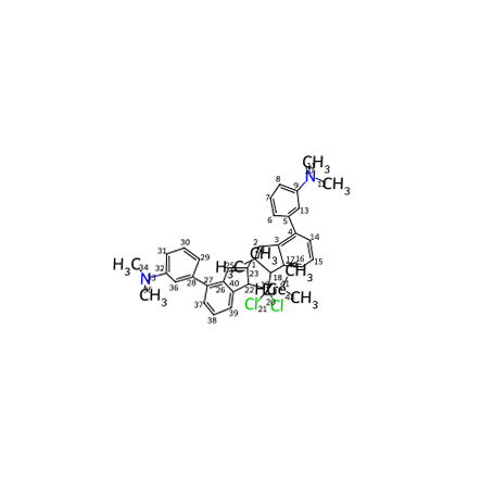 CC1=Cc2c(-c3cccc(N(C)C)c3)cccc2[CH]1[Zr]([Cl])([Cl])([CH]1C(C)=Cc2c(-c3cccc(N(C)C)c3)cccc21)[GeH]([CH3])[CH3]